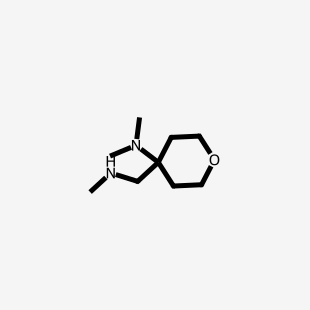 CNCC1(N(C)C)CCOCC1